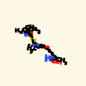 C=C(CCCCCCOC1C=C(CC(=C)Nc2ncc(SCc3ncc(C(C)(C)C)o3)s2)C=CC1)NO